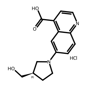 Cl.O=C(O)c1ccnc2ccc(N3CC[C@@H](CO)C3)cc12